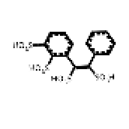 O=S(=O)(O)C(=C(c1cccc(S(=O)(=O)O)c1S(=O)(=O)O)S(=O)(=O)O)c1ccccc1